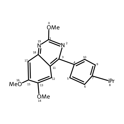 COc1nc(-c2ccc(C(C)C)cc2)c2cc(OC)c(OC)cc2n1